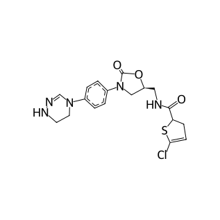 O=C(NC[C@H]1CN(c2ccc(N3C=NNCC3)cc2)C(=O)O1)C1CC=C(Cl)S1